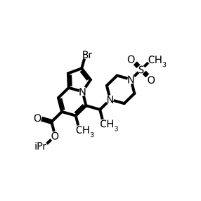 Cc1c(C(=O)OC(C)C)cc2cc(Br)cn2c1C(C)N1CCN(S(C)(=O)=O)CC1